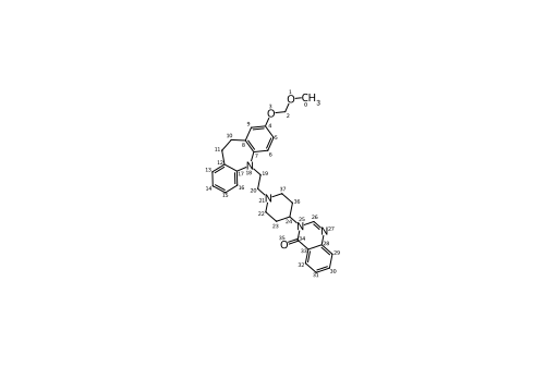 COCOc1ccc2c(c1)CCc1ccccc1N2CCN1CCC(n2cnc3ccccc3c2=O)CC1